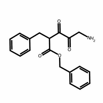 NCC(=O)C(=O)C(Cc1ccccc1)C(=O)OCc1ccccc1